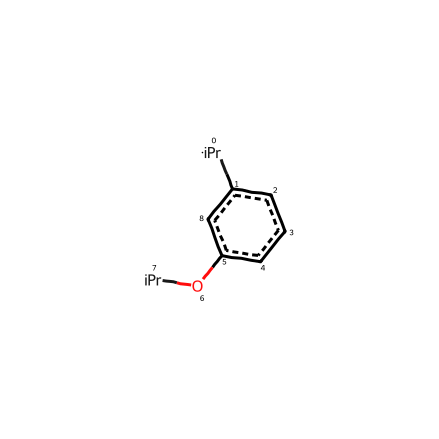 C[C](C)c1cccc(OC(C)C)c1